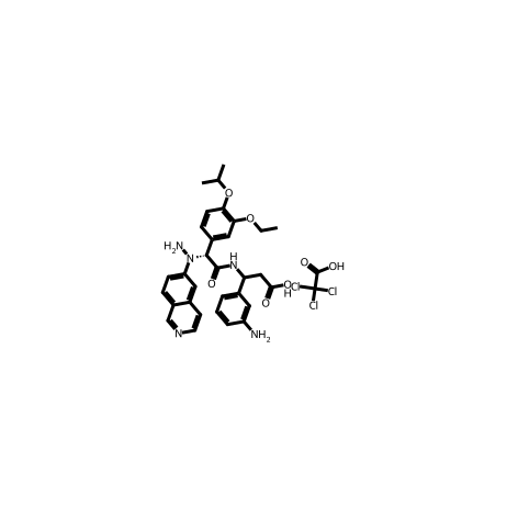 CCOc1cc([C@H](C(=O)NC(CC(=O)O)c2cccc(N)c2)N(N)c2ccc3cnccc3c2)ccc1OC(C)C.O=C(O)C(Cl)(Cl)Cl